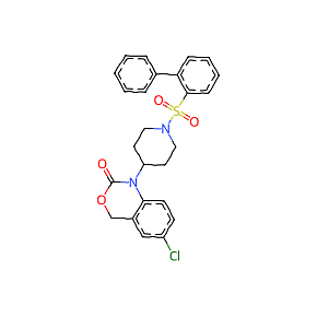 O=C1OCc2cc(Cl)ccc2N1C1CCN(S(=O)(=O)c2ccccc2-c2ccccc2)CC1